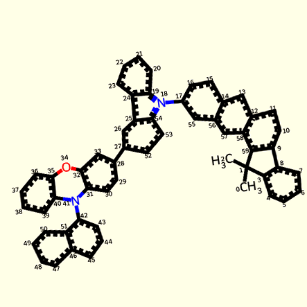 CC1(C)c2ccccc2-c2ccc3cc4ccc(-n5c6ccccc6c6cc(-c7ccc8c(c7)Oc7ccccc7N8c7cccc8ccccc78)ccc65)cc4cc3c21